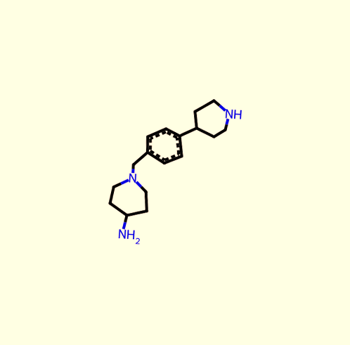 NC1CCN(Cc2ccc(C3CCNCC3)cc2)CC1